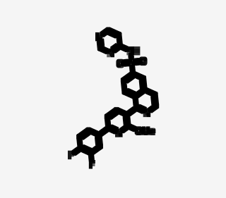 COc1nc(-c2ccc(F)c(F)c2)ccc1-c1nccc2cc(S(=O)(=O)Nc3ccncn3)ccc12